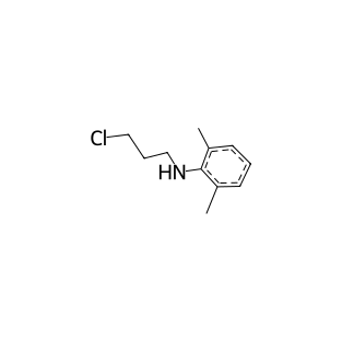 Cc1cccc(C)c1NCCCCl